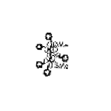 CO[C@H]1O[C@H](COCc2ccccc2)[C@@H](O[C@H]2O[C@H](CSC)[C@H](OCc3ccccc3)[C@H]2OCc2ccccc2)[C@H](OCc2ccccc2)[C@@H]1OCc1ccccc1